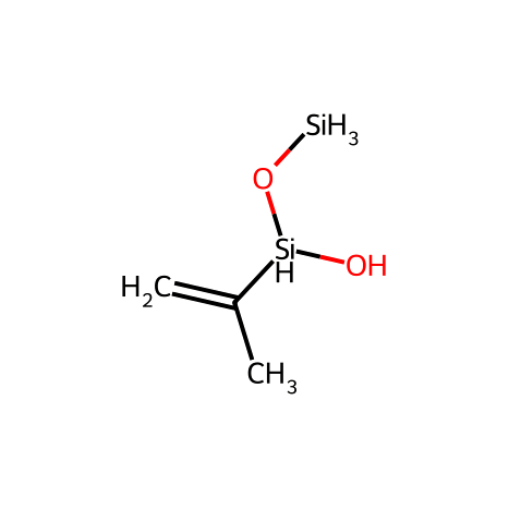 C=C(C)[SiH](O)O[SiH3]